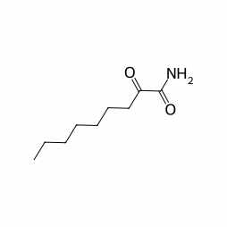 CCCCCCCC(=O)C(N)=O